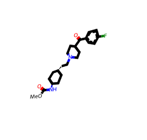 COC(=O)N[C@H]1CC[C@H](CCN2CCC(C(=O)c3ccc(F)cc3)CC2)CC1